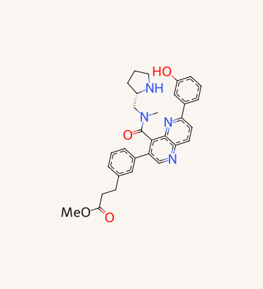 COC(=O)CCc1cccc(-c2cnc3ccc(-c4cccc(O)c4)nc3c2C(=O)N(C)C[C@@H]2CCCN2)c1